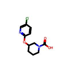 O=C(O)N1CCCC(Oc2ccc(Cl)cn2)C1